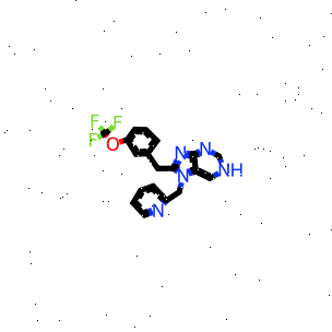 FC(F)(F)Oc1cccc(Cc2nc3c(n2Cc2ccccn2)=CNCN=3)c1